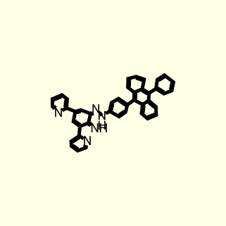 N=C1C(c2ccccn2)=CC(c2ccccn2)=C/C1=N/Nc1ccc(-c2c3ccccc3c(-c3ccccc3)c3ccccc23)cc1